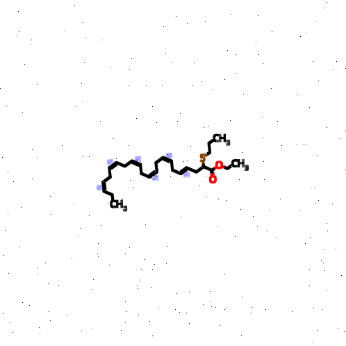 CC/C=C\C/C=C\C/C=C\C/C=C\C/C=C\C/C=C/CC(SCCC)C(=O)OCC